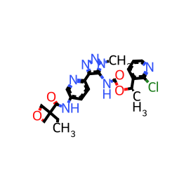 CCC1(C(=O)Nc2ccc(-c3nnn(C)c3NC(=O)O[C@H](C)c3cccnc3Cl)nc2)COC1